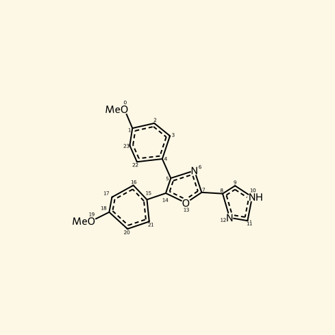 COc1ccc(-c2nc(-c3c[nH][c]n3)oc2-c2ccc(OC)cc2)cc1